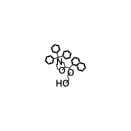 OCCOC(c1cccc2ccccc12)C1CN(C(c2ccccc2)(c2ccccc2)c2ccccc2)CCO1